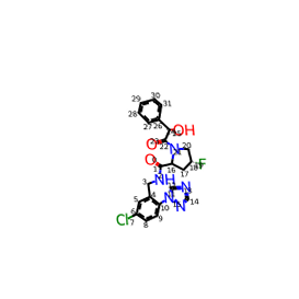 O=C(NCc1cc(Cl)ccc1-n1cncn1)C1C[C@@H](F)CN1C(=O)[C@H](O)c1ccccc1